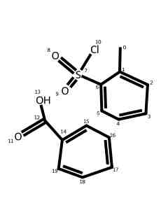 Cc1ccccc1S(=O)(=O)Cl.O=C(O)c1ccccc1